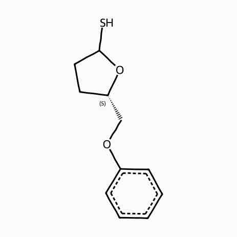 SC1CC[C@@H](COc2ccccc2)O1